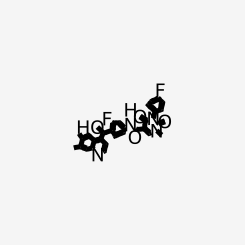 Cc1cc2nccc(C(O)c3ccc(NC(=O)c4cn(C)c(=O)n(-c5ccc(F)cc5)c4=O)cc3F)c2cc1C